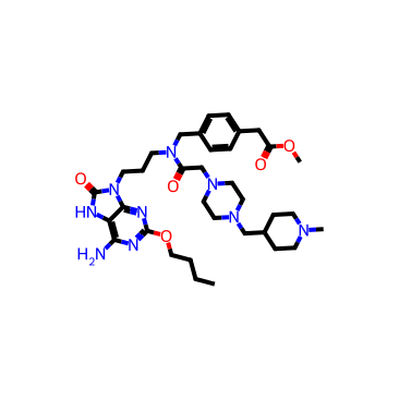 CCCCOc1nc(N)c2[nH]c(=O)n(CCCN(Cc3ccc(CC(=O)OC)cc3)C(=O)CN3CCN(CC4CCN(C)CC4)CC3)c2n1